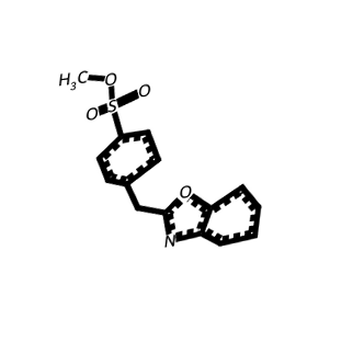 COS(=O)(=O)c1ccc(Cc2nc3ccccc3o2)cc1